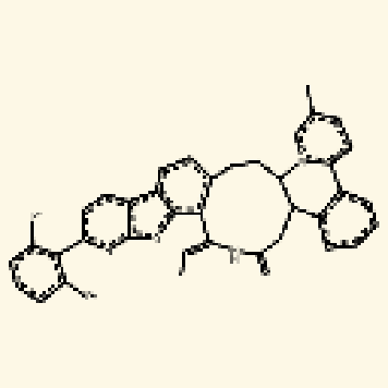 C=C1CC2c3ccccc3-c3ccc(C)c[n+]3C2CCc2ccc3c(oc4nc(-c5c(C(C)C)cccc5C(C)C)ccc43)c2/C(=C/C)N1